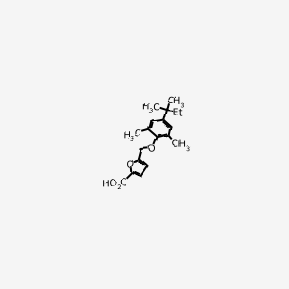 CCC(C)(C)c1cc(C)c(OCc2ccc(C(=O)O)o2)c(C)c1